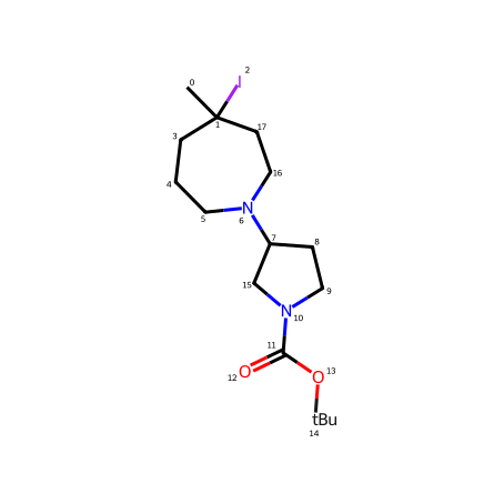 CC1(I)CCCN(C2CCN(C(=O)OC(C)(C)C)C2)CC1